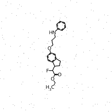 CCOC(=O)C(F)C1CCc2cc(OCCCNc3ccccc3)ccc21